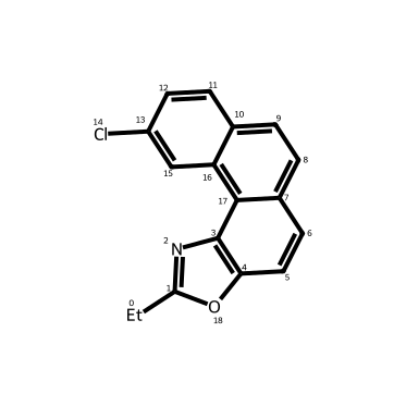 CCc1nc2c(ccc3ccc4ccc(Cl)cc4c32)o1